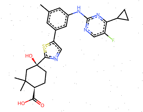 Cc1cc(Nc2ncc(F)c(C3CC3)n2)cc(-c2cnc([C@]3(O)CC[C@@H](C(=O)O)C(C)(C)C3)s2)c1